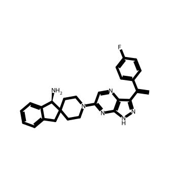 C=C(c1ccc(F)cc1)c1n[nH]c2nc(N3CCC4(CC3)Cc3ccccc3[C@H]4N)cnc12